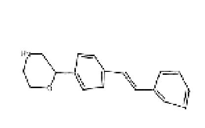 C(=Cc1ccc(C2CNCCO2)cc1)c1ccccc1